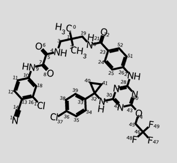 CC(C)(CNC(=O)C(=O)Nc1ccc(C#N)c(Cl)c1)CNC(=O)c1ccc(Nc2nc(NC3(c4ccc(Cl)cc4)CC3)nc(OCC(F)(F)F)n2)cc1